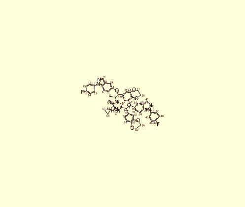 C[C@@H]([C@@H](Oc1ccc2c(cnn2-c2ccc(F)cc2)c1)c1ccc2c(c1)OCCO2)N(C[C@H](N)[C@H](Oc1ccc2c(cnn2-c2ccc(F)cc2)c1)c1ccc2c(c1)OCCO2)S(=O)(=O)C1CC1